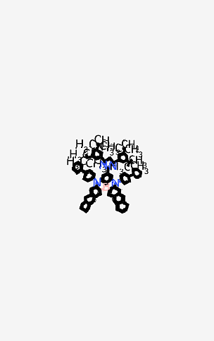 CC(C)(C)c1cc(-c2cc(-c3cc(C(C)(C)C)cc(C(C)(C)C)c3)nc(-c3cc4c5c(c3)N(c3ccc(-c6ccccc6)cc3)c3cc6cc7ccccc7cc6cc3B5c3cc5cc6ccccc6cc5cc3N4c3ccc(-c4ccccc4)cc3)n2)cc(C(C)(C)C)c1